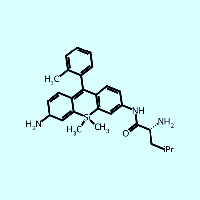 Cc1ccccc1C1=C2C=CC(N)C=C2[Si](C)(C)c2cc(NC(=O)[C@H](N)CC(C)C)ccc21